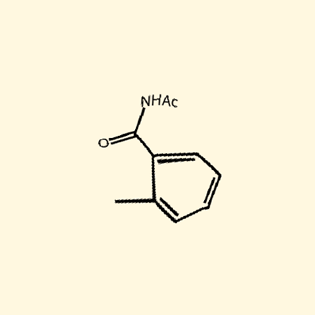 CC(=O)NC(=O)c1ccccc1C